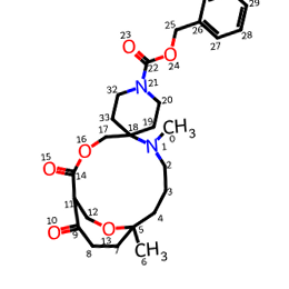 CN1CCCC2(C)CCC(=O)C(CO2)C(=O)OCC12CCN(C(=O)OCc1ccccc1)CC2